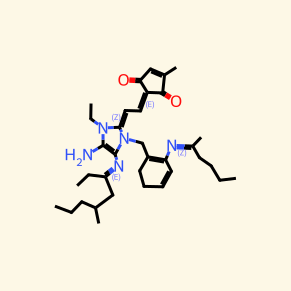 CCCC/C(C)=N\C1=C(CN2C(/N=C(\CC)CC(C)CCC)=C(N)N(CC)/C2=C/C=C2\C(=O)C=C(C)C2=O)CCC=C1